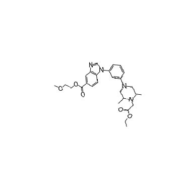 CCOC(=O)CN1C(C)CN(c2cccc(-n3cnc4cc(C(=O)OCCOC)ccc43)c2)CC1C